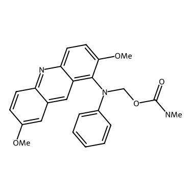 CNC(=O)OCN(c1ccccc1)c1c(OC)ccc2nc3ccc(OC)cc3cc12